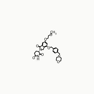 COCCOc1cc(OCc2ccc(CN3CCOCC3)cc2)c2c(c1)C(=O)N([C@H]1CCC(=O)NC1=O)C2